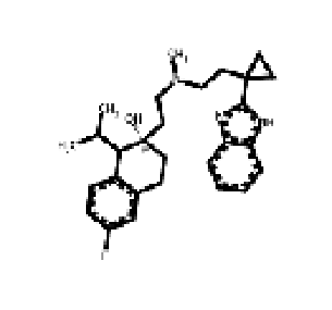 CC(C)C1c2ccc(F)cc2CC[C@]1(O)CCN(C)CCC1(c2nc3ccccc3[nH]2)CC1